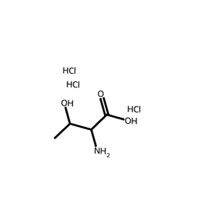 CC(O)C(N)C(=O)O.Cl.Cl.Cl